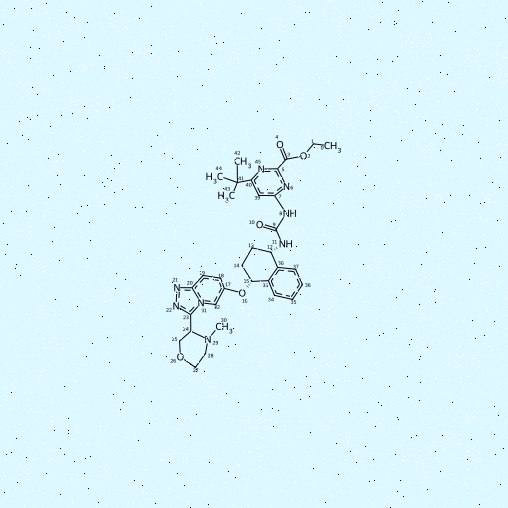 CCOC(=O)c1nc(NC(=O)N[C@H]2CC[C@@H](Oc3ccc4nnc(C5COCCN5C)n4c3)c3ccccc32)cc(C(C)(C)C)n1